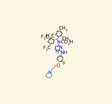 Cc1cc(C)c(C(c2cc(C(F)(F)F)cc(C(F)(F)F)c2)N(C(=O)O)c2ccnc(Nc3ccc(OCCCN4CCCCC4)c(F)c3)n2)c(C)c1